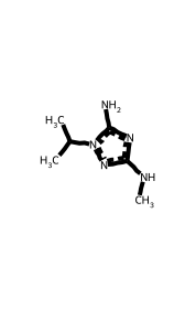 CNc1nc(N)n(C(C)C)n1